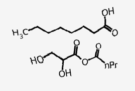 CCCC(=O)OC(=O)C(O)CO.CCCCCCCC(=O)O